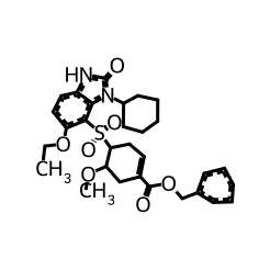 CCOc1ccc2[nH]c(=O)n(C3CCCCC3)c2c1S(=O)(=O)C1CC=C(C(=O)OCc2ccccc2)CC1OC